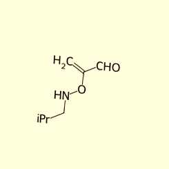 C=C(C=O)ONCC(C)C